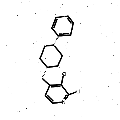 Clc1nccc(C[C@H]2CC[C@@H](c3ccccc3)CC2)c1Cl